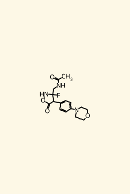 CC(=O)NCC1(F)NOC(=O)C1c1ccc(N2CCOCC2)cc1